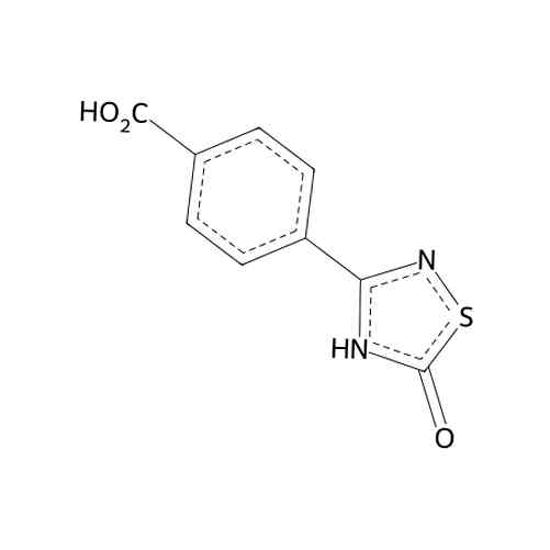 O=C(O)c1ccc(-c2nsc(=O)[nH]2)cc1